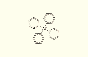 c1cc[c]([Al-]([c]2ccccc2)([c]2ccccc2)[c]2ccccc2)cc1